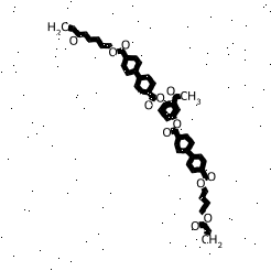 C=CC(=O)CCCCCOC(=O)C1CCC(C2CCC(C(=O)Oc3ccc(OC(=O)C4CCC(C5CCC(C(=O)OCCCCOC(=O)C=C)CC5)CC4)cc3C(C)=O)CC2)CC1